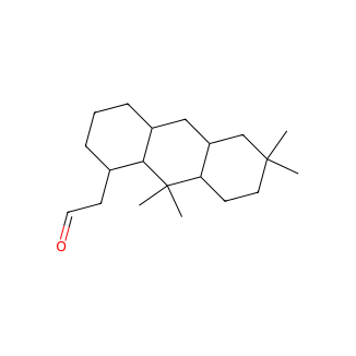 CC1(C)CCC2C(CC3CCCC(CC=O)C3C2(C)C)C1